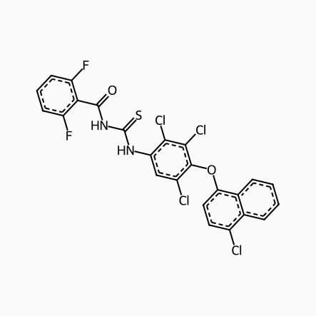 O=C(NC(=S)Nc1cc(Cl)c(Oc2ccc(Cl)c3ccccc23)c(Cl)c1Cl)c1c(F)cccc1F